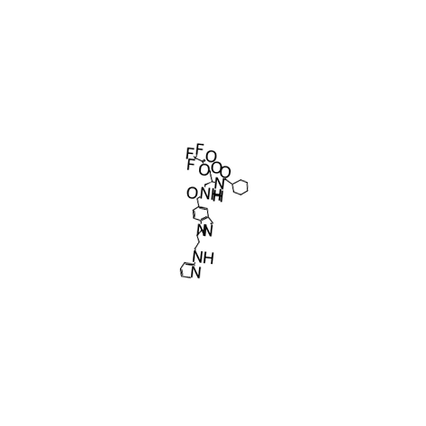 O=C(NC[C@H](NC(=O)C1CCCCC1)C(=O)OC(=O)C(F)(F)F)c1ccc2c(cnn2CCCNc2ccccn2)c1